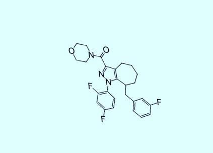 O=C(c1nn(-c2ccc(F)cc2F)c2c1CCCCC2Cc1cccc(F)c1)N1CCOCC1